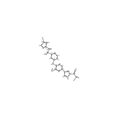 CN(C)C(=O)c1nc(-c2ccc(Oc3cccc(C(=O)Nc4ccn(C)n4)c3)c(Cl)c2)no1